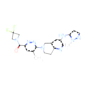 Cc1cc(C(=O)N2CC(F)(F)C2)nnc1N1CCc2ncc(Nc3ccnn3C)cc2C1